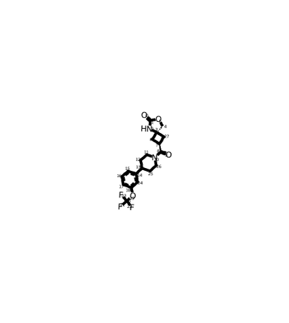 O=C1N[C@]2(CO1)C[C@H](C(=O)N1CCC(c3cccc(OC(F)(F)F)c3)CC1)C2